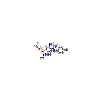 C=CC(=O)Nc1cc2c(Nc3ccc(Br)cc3F)ncnc2cc1OCCN(C)C